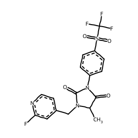 CC1C(=O)N(c2ccc(S(=O)(=O)C(F)(F)F)cc2)C(=O)N1Cc1ccnc(F)c1